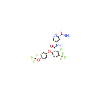 NC(=O)c1cc(NC(=O)c2c(Oc3ccc(OC(F)(F)F)cc3)ccc(C(F)(F)F)c2F)ccn1